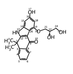 CC1(C)c2ccccc2C(=O)c2c1[nH]c1cc(O)cc(OC[C@H](O)CO)c21